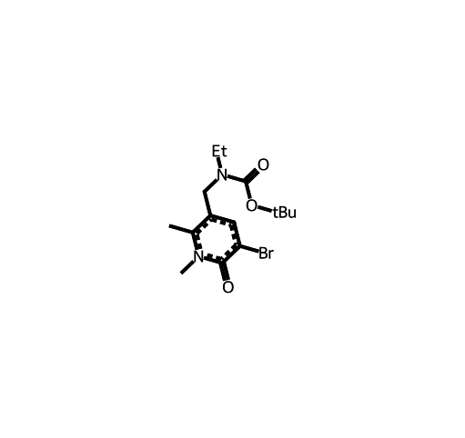 CCN(Cc1cc(Br)c(=O)n(C)c1C)C(=O)OC(C)(C)C